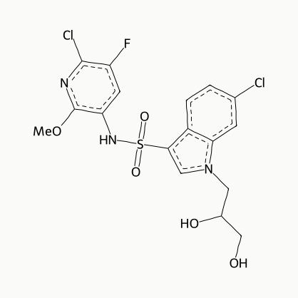 COc1nc(Cl)c(F)cc1NS(=O)(=O)c1cn(CC(O)CO)c2cc(Cl)ccc12